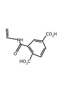 C=CNC(=O)c1cc(C(=O)O)ccc1C(=O)O